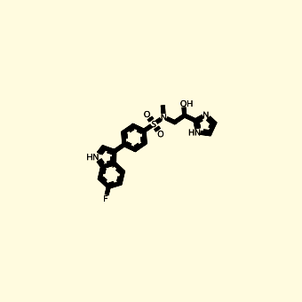 CN(CC(O)c1ncc[nH]1)S(=O)(=O)c1ccc(-c2c[nH]c3cc(F)ccc23)cc1